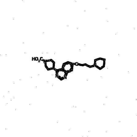 O=C(O)N1CCC(c2ncnc3cc(OCCCN4CCCCC4)ccc23)CC1